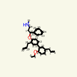 C=CCc1ccc(OCC)c(-c2ccc(OC(CCNC)c3ccccc3)c(CC=C)c2)c1